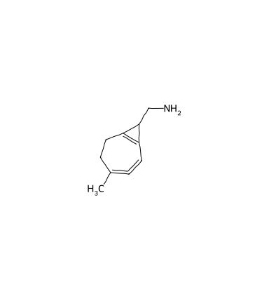 CC1=C=CC2=C(CC1)C2CN